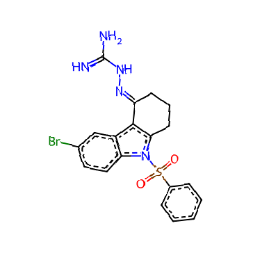 N=C(N)NN=C1CCCc2c1c1cc(Br)ccc1n2S(=O)(=O)c1ccccc1